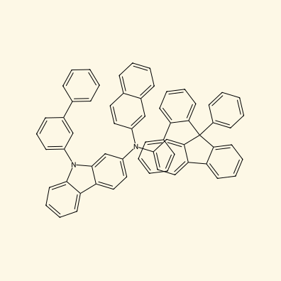 c1ccc(-c2cccc(-n3c4ccccc4c4ccc(N(c5ccc6c(c5)C(c5ccccc5)(c5ccccc5-c5ccccc5)c5ccccc5-6)c5ccc6ccccc6c5)cc43)c2)cc1